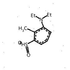 CCN(CC)c1cccc([SH](=O)=O)c1C